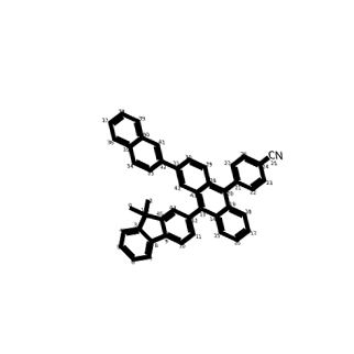 CC1(C)c2ccccc2-c2ccc(-c3c4ccccc4c(-c4ccc(C#N)cc4)c4ccc(-c5ccc6ccccc6c5)cc34)cc21